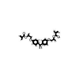 C=C(C)C(=O)OC(C)COc1ccc(C(CC)c2ccc(OCC(C)OC(=O)C(=C)C)cc2)cc1